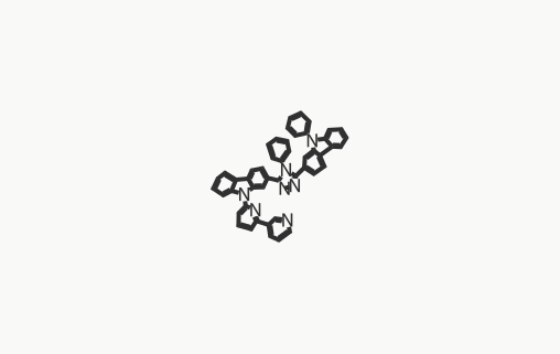 c1ccc(-n2c(-c3ccc4c5ccccc5n(-c5ccccc5)c4c3)nnc2-c2ccc3c4ccccc4n(-c4cccc(-c5cccnc5)n4)c3c2)cc1